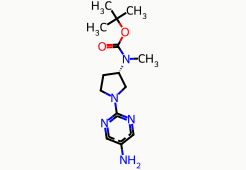 CN(C(=O)OC(C)(C)C)[C@H]1CCN(c2ncc(N)cn2)C1